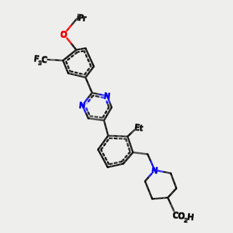 CCc1c(CN2CCC(C(=O)O)CC2)cccc1-c1cnc(-c2ccc(OC(C)C)c(C(F)(F)F)c2)nc1